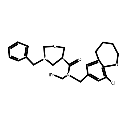 CC(C)CN(Cc1cc(Cl)c2c(c1)CCCCO2)C(=O)[C@@H]1CCCN(Cc2ccccc2)C1